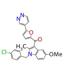 COc1ccc2c(c1)c(C(=O)c1ccc(-c3ccnnc3)o1)c(C)n2Cc1ccc(Cl)cc1